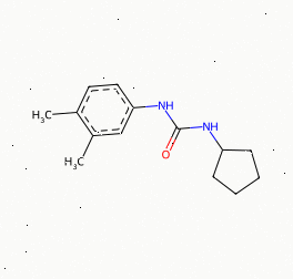 Cc1ccc(NC(=O)NC2CCCC2)cc1C